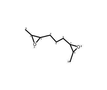 CC1OC1CCCC1OC1C